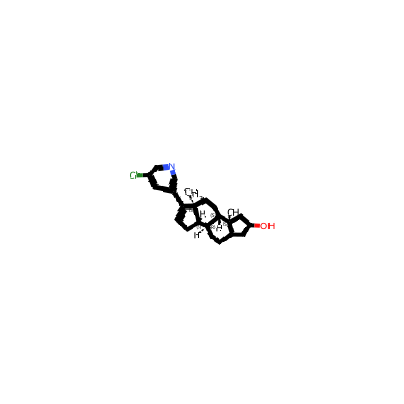 C[C@]12CC(O)CC1CC[C@@H]1[C@@H]2CC[C@]2(C)C(c3cncc(Cl)c3)=CC[C@@H]12